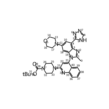 Cc1nc2c(-c3nnc[nH]3)cc(N3CCOCC3)cc2n1-c1cc(N2CCN(C(=O)OC(C)(C)C)CC2)nc2ccccc12